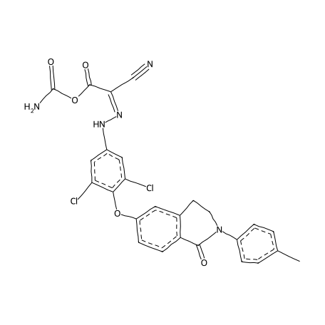 Cc1ccc(N2CCc3cc(Oc4c(Cl)cc(NN=C(C#N)C(=O)OC(N)=O)cc4Cl)ccc3C2=O)cc1